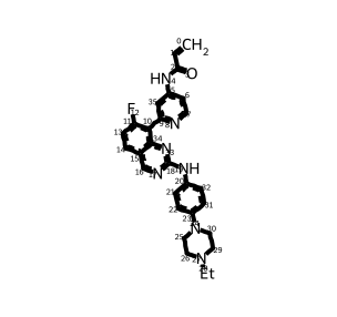 C=CC(=O)Nc1ccnc(-c2c(F)ccc3cnc(Nc4ccc(N5CCN(CC)CC5)cc4)nc23)c1